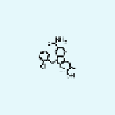 CCc1c(CC(C)CO)c2ccc(C(N)=O)cc2n1Cc1ccccc1Cl